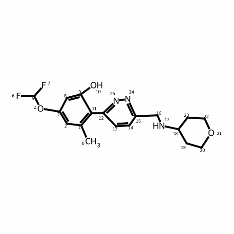 Cc1cc(OC(F)F)cc(O)c1-c1ccc(CNC2CCOCC2)nn1